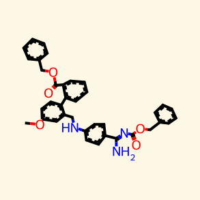 COc1ccc(-c2ccccc2C(=O)OCc2ccccc2)c(CNc2ccc(C(N)=NC(=O)OCc3ccccc3)cc2)c1